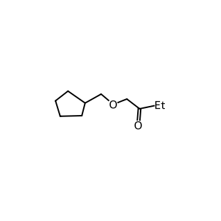 CCC(=O)COCC1CCCC1